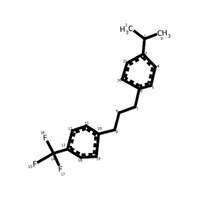 CC(C)c1ccc(CCCc2ccc(C(F)(F)F)cc2)cc1